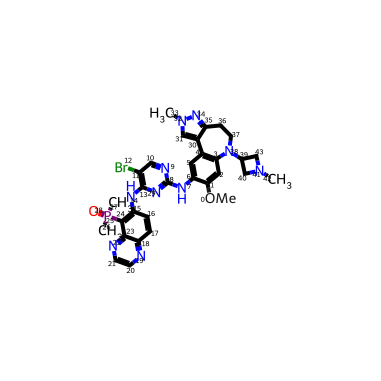 COc1cc2c(cc1Nc1ncc(Br)c(Nc3ccc4nccnc4c3P(C)(C)=O)n1)-c1cn(C)nc1CCN2C1CN(C)C1